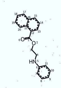 O=C(OCCNc1ccccc1)c1cccc2ccccc12